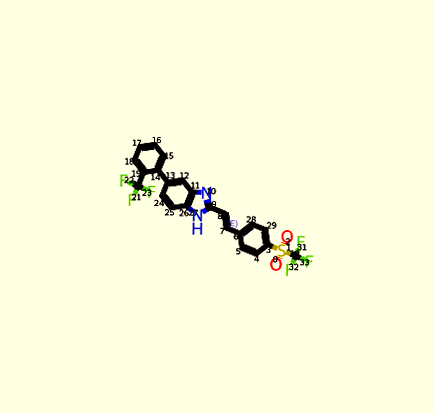 O=S(=O)(c1ccc(/C=C/c2nc3cc(-c4ccccc4C(F)(F)F)ccc3[nH]2)cc1)C(F)(F)F